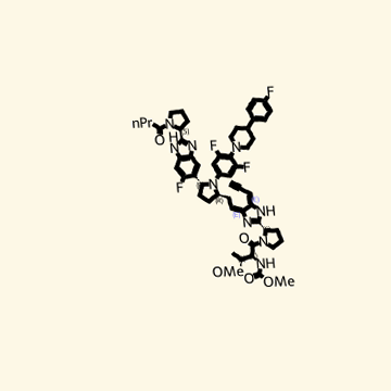 C#C/C=c1/[nH]c([C@@H]2CCCN2C(=O)[C@@H](NC(=O)OC)[C@@H](C)OC)n/c1=C/C[C@H]1CC[C@H](c2cc3nc([C@@H]4CCCN4C(=O)CCC)[nH]c3cc2F)N1c1cc(F)c(N2CCC(c3ccc(F)cc3)CC2)c(F)c1